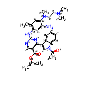 CC(=O)n1cc(-c2nc(Nc3cc(N)c(N(C)CCN(C)C)cc3C)ncc2C(=O)OC(C)C)c2ccccc21